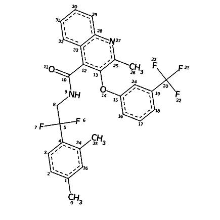 Cc1ccc(C(F)(F)CNC(=O)c2c(Oc3cccc(C(F)(F)F)c3)c(C)nc3ccccc23)c(C)c1